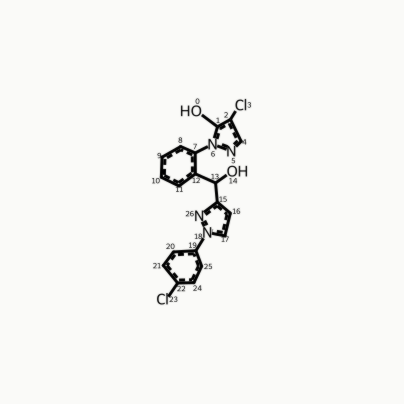 Oc1c(Cl)cnn1-c1ccccc1C(O)c1ccn(-c2ccc(Cl)cc2)n1